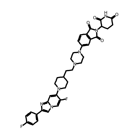 O=C1CCC(N2C(=O)c3ccc(N4CCN(CCC5CCN(c6cc7nc(-c8ccc(F)cc8)cn7cc6F)CC5)CC4)cc3C2=O)C(=O)N1